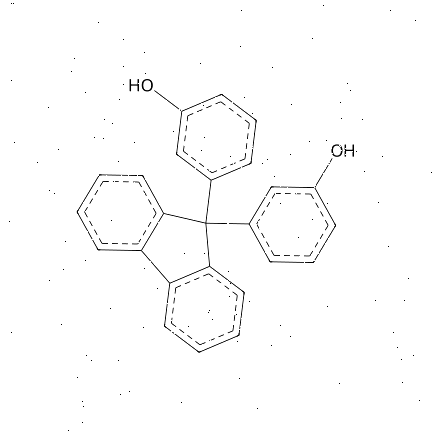 Oc1cccc(C2(c3cccc(O)c3)c3ccccc3-c3ccccc32)c1